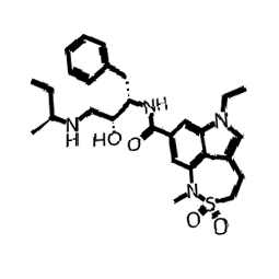 CC[C@H](C)NC[C@@H](O)[C@H](Cc1ccccc1)NC(=O)c1cc2c3c(cn(CC)c3c1)CCS(=O)(=O)N2C